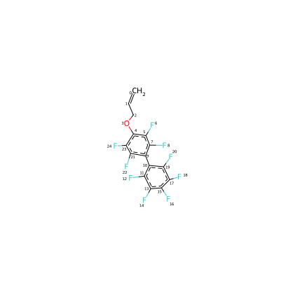 C=CCOc1c(F)c(F)c(-c2c(F)c(F)c(F)c(F)c2F)c(F)c1F